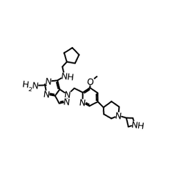 COc1cc(C2CCN(C3CNC3)CC2)cnc1Cn1ncc2nc(N)nc(NCC3CCCC3)c21